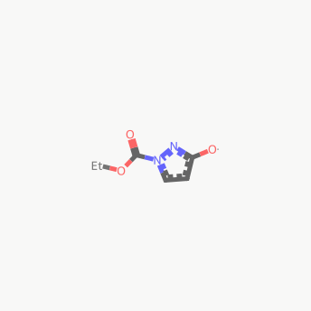 CCOC(=O)n1ccc([O])n1